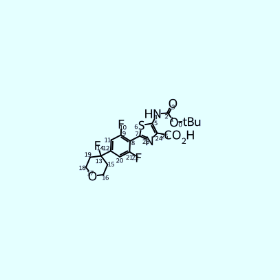 CC(C)(C)OC(=O)Nc1sc(-c2c(F)cc(C3(F)CCOCC3)cc2F)nc1C(=O)O